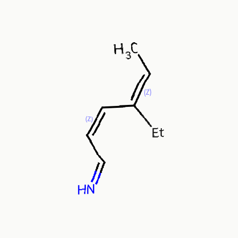 C/C=C(\C=C/C=N)CC